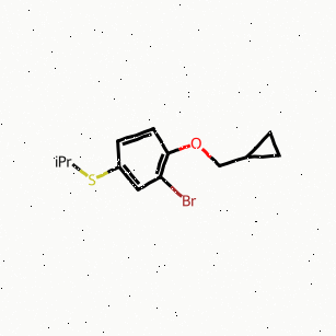 CC(C)Sc1ccc(OCC2CC2)c(Br)c1